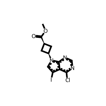 COC(=O)[C@H]1C[C@@H](n2cc(I)c3c(Cl)ncnc32)C1